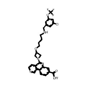 O=C(O)c1ccc2c(c1)nc(N1CC(OCCCCNCc3cc(Cl)cc(OC(F)(F)F)c3)C1)c1ccncc12